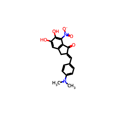 CN(C)c1ccc(C=C2Cc3cc(O)c(O)c([N+](=O)[O-])c3C2=O)cc1